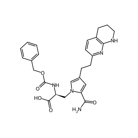 NC(=O)c1cc(CCc2ccc3c(n2)NCCC3)cn1C[C@H](NC(=O)OCc1ccccc1)C(=O)O